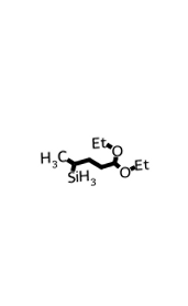 CCOC(CCC(C)[SiH3])OCC